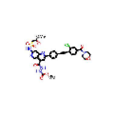 COC(=O)CS(=O)(=O)Nc1cc2nc(-c3ccc(C#Cc4ccc(C(=O)N5CCOCC5)cc4Cl)cc3)cc(C(=O)NNC(=O)OC(C)(C)C)c2cn1